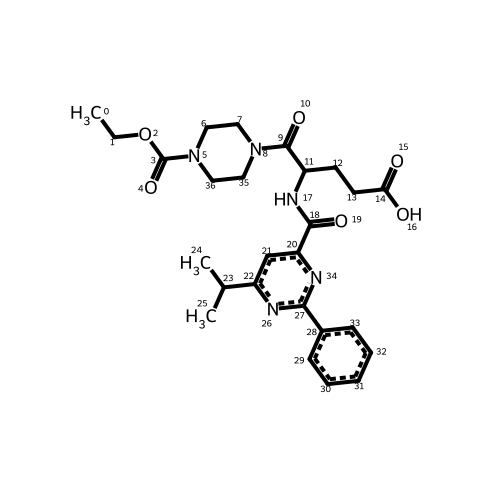 CCOC(=O)N1CCN(C(=O)C(CCC(=O)O)NC(=O)c2cc(C(C)C)nc(-c3ccccc3)n2)CC1